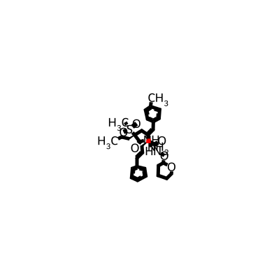 CCC[C@@](C/C(=C\c1ccc(C)cc1)[C@H](CC=Cc1ccccc1)C(=O)NOC1CCCCO1)(C(=O)NN)S(C)(=O)=O